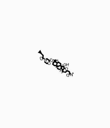 C[C@@H]1CC(CC(=O)N(C)C)OC2[C@H]1[C@@]1(C)CC[C@@]34C[C@@]35CCC(O[C@H]3CN(C(=O)CC6CC6)CCO3)C(C)(C)[C@@H]5CCC4[C@]1(C)[C@H]2O